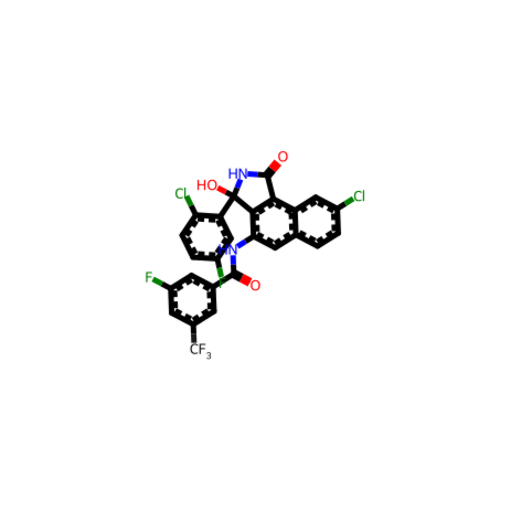 O=C(Nc1cc2ccc(Cl)cc2c2c1C(O)(c1cc(F)ccc1Cl)NC2=O)c1cc(F)cc(C(F)(F)F)c1